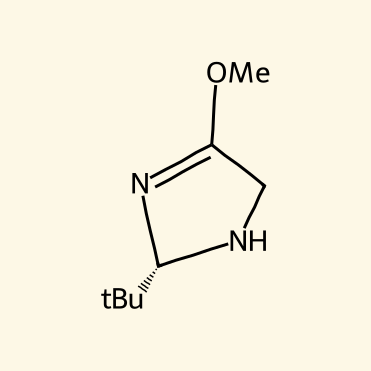 COC1=N[C@@H](C(C)(C)C)NC1